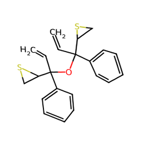 C=CC(OC(C=C)(c1ccccc1)C1CS1)(c1ccccc1)C1CS1